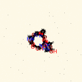 CC(C)CC(C(=O)N[C@@H]1C(=O)N[C@H](C(C)C)[C@H](O)CC(=O)O[C@H](C(C)C)C(=O)N[C@@H](CC(C)C)C(=O)N2CCC[C@H]2C(=O)N(C)[C@@H](Cc2ccccc2)C(=O)O[C@@H]1C)N(C)C(=O)C1CCCN1C(=O)[C@H](C)O